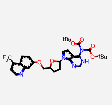 CC(C)(C)OC(=O)N(C(=O)OC(C)(C)C)C1=c2ccn(C3CCC(COc4ccc5c(C(F)(F)F)ccnc5c4)O3)c2=NCN1